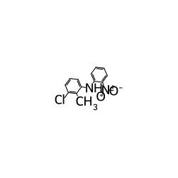 Cc1c(Cl)cccc1Nc1ccccc1[N+](=O)[O-]